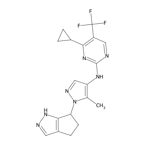 Cc1c(Nc2ncc(C(F)(F)F)c(C3CC3)n2)cnn1C1CCc2cn[nH]c21